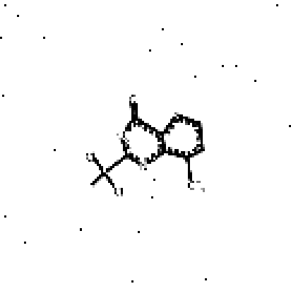 CC(Cl)(Cl)c1nc2c(C(F)(F)F)cccc2c(=O)o1